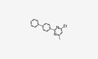 CCc1cc(C)nc(-c2ccc(-c3ccccc3)cc2)n1